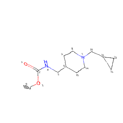 CC(C)(C)OC(=O)NCC1CCN(CC2CC2)CC1